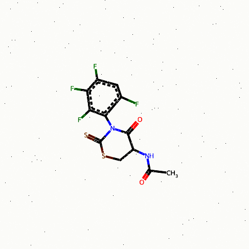 CC(=O)NC1CSC(=S)N(c2c(F)cc(F)c(F)c2F)C1=O